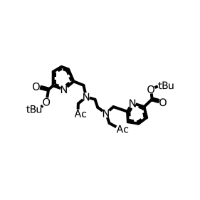 CC(=O)CN(CCN(CC(C)=O)Cc1cccc(C(=O)OC(C)(C)C)n1)Cc1cccc(C(=O)OC(C)(C)C)n1